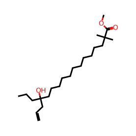 C=CCC(O)(CCC)CCCCCCCCCCCC(C)(C)C(=O)OC